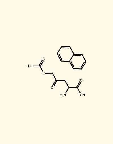 CC(=O)OCC(=O)CC(N)C(=O)O.c1ccc2ccccc2c1